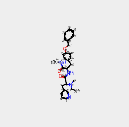 CC(C)CN(C)C(Cc1cccnc1)C(=O)NC(Cc1ccc(OCc2ccccc2)cc1)C(=O)NC(C)(C)C